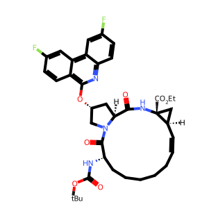 CCOC(=O)[C@@]12C[C@H]1/C=C\CCCCC[C@H](NC(=O)OC(C)(C)C)C(=O)N1C[C@H](Oc3nc4ccc(F)cc4c4cc(F)ccc34)C[C@H]1C(=O)N2